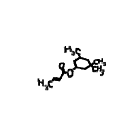 C/C=C/C(=O)O[C@H]1C[C@@H](C)CC(C)(C)C1